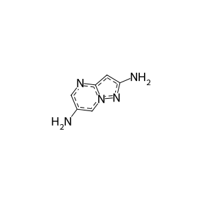 Nc1cnc2cc(N)nn2c1